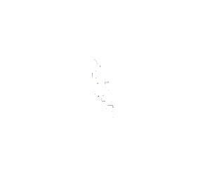 COc1ccc(-c2cc3c(NC4C5CC6CC4CC(O)(C6)C5)c(/C(N)=N/c4ccc(O[Si](C)(C)C(C)(C)C)cc4Cl)cnn3c2)cn1